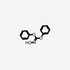 ON=C(Oc1ccccc1)Oc1ccccc1